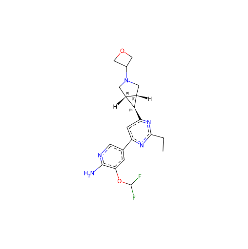 CCc1nc(-c2cnc(N)c(OC(F)F)c2)cc([C@H]2[C@@H]3CN(C4COC4)C[C@@H]32)n1